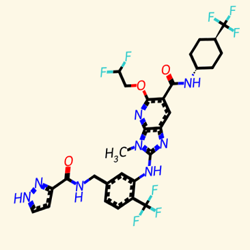 Cn1c(Nc2cc(CNC(=O)c3cc[nH]n3)ccc2C(F)(F)F)nc2cc(C(=O)N[C@H]3CC[C@H](C(F)(F)F)CC3)c(OCC(F)F)nc21